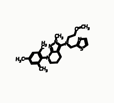 COCCN(Cc1nccs1)c1c2c(nn1C)N(c1c(C)cc(C)cc1C)CCC2